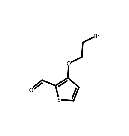 O=Cc1sccc1OCCBr